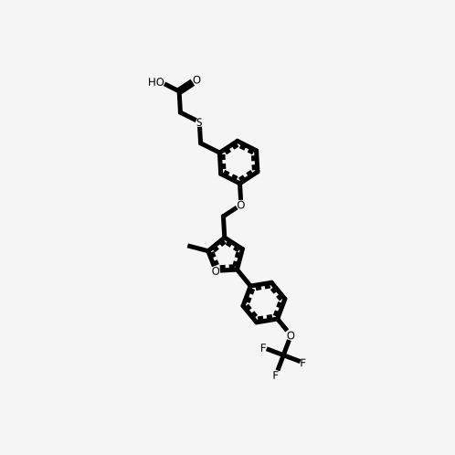 Cc1oc(-c2ccc(OC(F)(F)F)cc2)cc1COc1cccc(CSCC(=O)O)c1